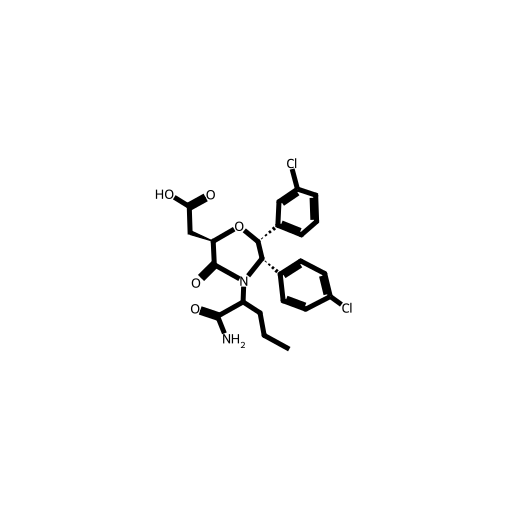 CCCC(C(N)=O)N1C(=O)[C@@H](CC(=O)O)O[C@H](c2cccc(Cl)c2)[C@@H]1c1ccc(Cl)cc1